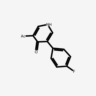 CC(=O)c1c[nH]cc(-c2ccc(F)cc2)c1=O